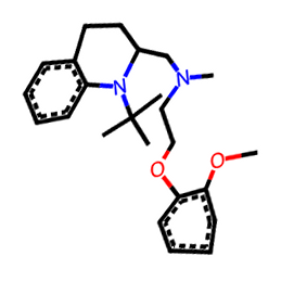 COc1ccccc1OCCN(C)CC1CCc2ccccc2N1C(C)(C)C